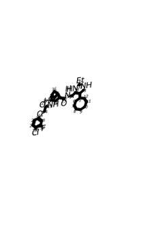 CC[C@H]1NCC(C2CCCCCCC2)C(CNC(=O)C2C[C@H](NC(=O)COc3ccc(Cl)c(F)c3)C3CC2C3)N1